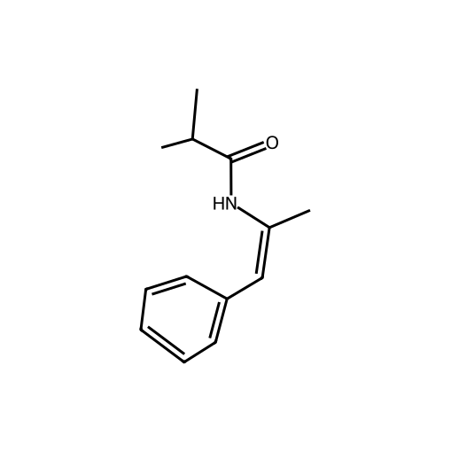 C/C(=C/c1ccccc1)NC(=O)C(C)C